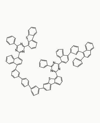 c1ccc(-c2nc(-c3ccc(-c4cccc(-c5ccc(-c6cccc(-c7ccc8c(c7)sc7c(-c9nc(-c%10ccccc%10)nc(-c%10ccc(-c%11cccc(-c%12c(-c%13ccccc%13)ccc%13ccccc%12%13)c%11)c%11ccccc%10%11)n9)cccc78)c6)cc5)c4)c4ccccc34)nc(-c3cccc4c3sc3ccccc34)n2)cc1